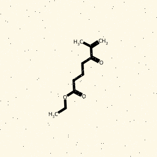 C=C(C)C(=O)CCCC(=O)OCC